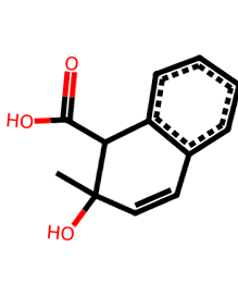 CC1(O)C=Cc2ccccc2C1C(=O)O